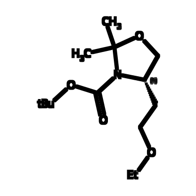 CCOCC[C@H]1COC(C)(C)N1C(=O)OC(C)(C)C